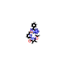 CC(C)OCC(C)C(C)C(=O)Nc1cccc(CO/N=C(/c2ccccc2)c2nnnn2C)n1